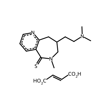 CN(C)CCC1Cc2ncccc2C(=S)N(C)C1.O=C(O)C=CC(=O)O